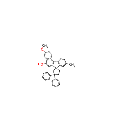 COc1ccc2c3c(cc(O)c2c1)C1(CCC(c2ccccc2)(c2ccccc2)C1)c1cc(C)ccc1-3